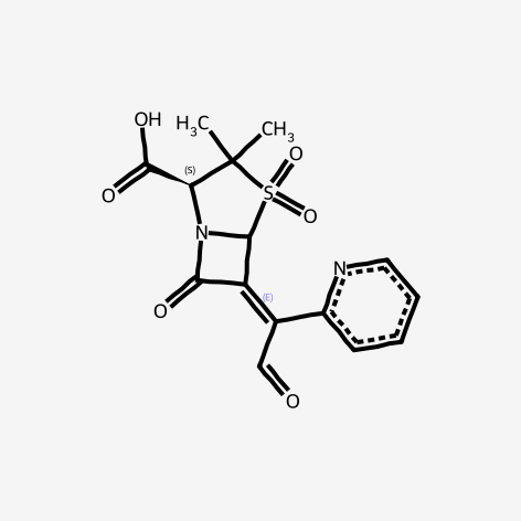 CC1(C)[C@H](C(=O)O)N2C(=O)/C(=C(\C=O)c3ccccn3)C2S1(=O)=O